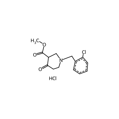 COC(=O)C1CN(Cc2ccccc2Cl)CCC1=O.Cl